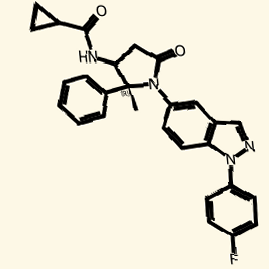 C[C@@]1(c2ccccc2)C(NC(=O)C2CC2)CC(=O)N1c1ccc2c(cnn2-c2ccc(F)cc2)c1